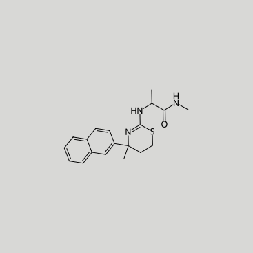 CNC(=O)C(C)NC1=NC(C)(c2ccc3ccccc3c2)CCS1